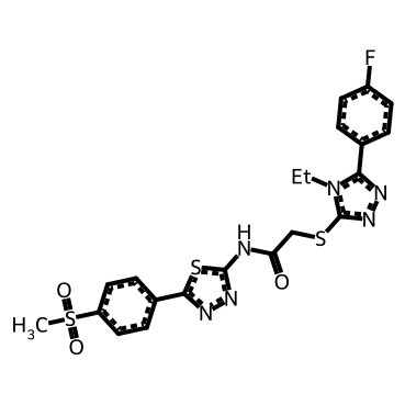 CCn1c(SCC(=O)Nc2nnc(-c3ccc(S(C)(=O)=O)cc3)s2)nnc1-c1ccc(F)cc1